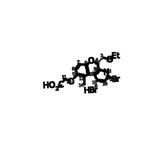 Br.CCOC[C@@H](Oc1ccc(OCC(=O)O)c(C)c1)c1cccc(Br)n1